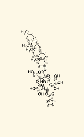 C[C@@H]1CC[C@@]2(OC1)OC1CC3C4CC=C5C[C@@H](O[C@@H]6O[C@H](CO)[C@@H](OC7O[C@@H](COC(=O)c8cccs8)[C@H](O)[C@H]7O)[C@H](O)[C@H]6OC6O[C@@H](C)[C@H](O)[C@@H](O)[C@H]6O)CC[C@]5(C)C4CC[C@]3(C)C1[C@@H]2C